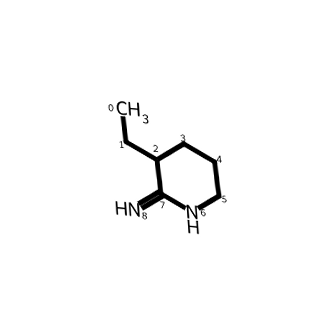 CCC1CCCNC1=N